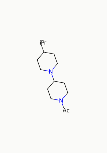 CC(=O)N1CCC(N2CCC(C(C)C)CC2)CC1